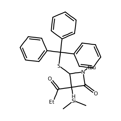 CCC(=O)C1([SiH](C)C)C(=O)N(C(C)(C)C)C1SC(c1ccccc1)(c1ccccc1)c1ccccc1